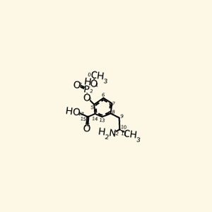 CO[PH](=O)Oc1ccc(C[C@@H](C)N)cc1C(=O)O